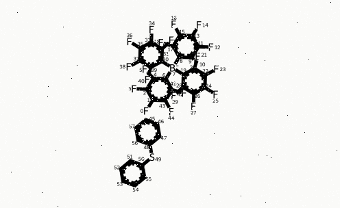 Fc1c(F)c(F)c([B-](c2c(F)c(F)c(F)c(F)c2F)(c2c(F)c(F)c(F)c(F)c2F)c2c(F)c(F)c(F)c(F)c2F)c(F)c1F.c1ccc(Sc2ccccc2)cc1